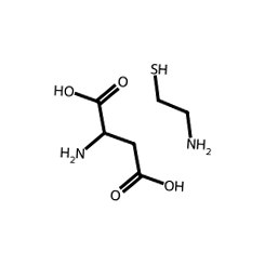 NC(CC(=O)O)C(=O)O.NCCS